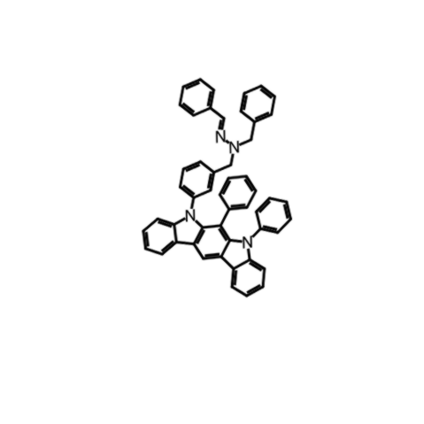 C(=N\N(Cc1ccccc1)Cc1cccc(-n2c3ccccc3c3cc4c5ccccc5n(-c5ccccc5)c4c(-c4ccccc4)c32)c1)/c1ccccc1